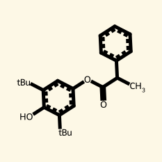 CC(C(=O)Oc1cc(C(C)(C)C)c(O)c(C(C)(C)C)c1)c1ccccc1